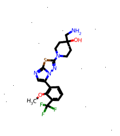 COc1c(-c2cnc3sc(N4CCC(O)(CN)CC4)nn23)cccc1C(F)(F)F